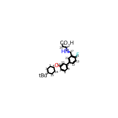 CC(C)(C)[C@H]1CC[C@H](Oc2cccc(-c3ccc(F)c(CNCCC(=O)O)c3)c2)CC1